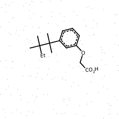 CCC(C)(C)C(C)(C)c1cccc(OCC(=O)O)c1